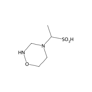 CC(N1CCONC1)S(=O)(=O)O